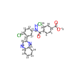 COC(=O)c1ccc(C(=O)Nc2ccc(Cl)c(-c3cnc4ccccc4n3)c2)c(Cl)c1